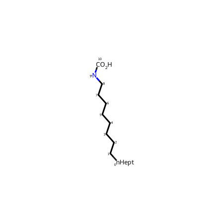 CCCCCCCCCCCCCCC[N]C(=O)O